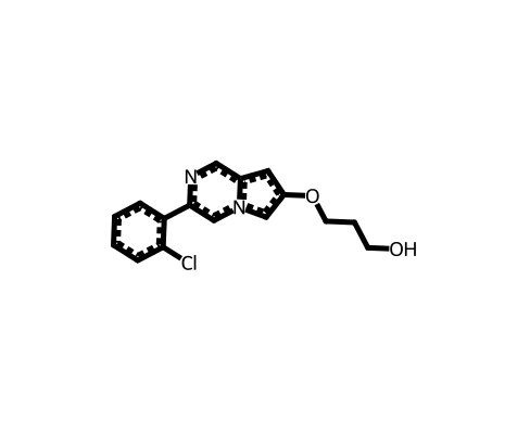 OCCCOc1cc2cnc(-c3ccccc3Cl)cn2c1